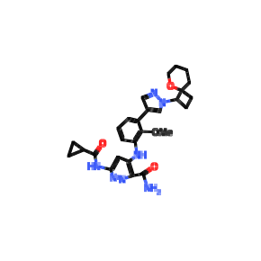 COc1c(Nc2cc(NC(=O)C3CC3)nnc2C(N)=O)cccc1-c1cnn(C2CCC23CCCCO3)c1